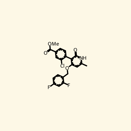 COC(=O)c1ccc(-c2c(OCc3ccc(F)cc3F)cc(C)[nH]c2=O)c(Cl)c1